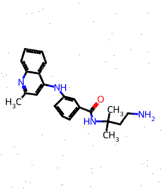 Cc1cc(Nc2cccc(C(=O)NC(C)(C)CCN)c2)c2ccccc2n1